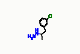 CC(Cc1cccc(Cl)c1)NN